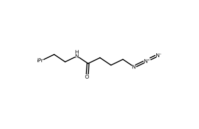 CC(C)CCNC(=O)CCCN=[N+]=[N-]